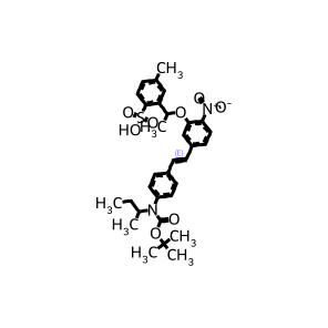 CCC(C)N(C(=O)OC(C)(C)C)c1ccc(/C=C/c2ccc([N+](=O)[O-])c(OC(C)c3cc(C)ccc3S(=O)(=O)O)c2)cc1